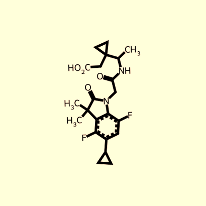 CC(NC(=O)CN1C(=O)C(C)(C)c2c(F)c(C3CC3)cc(F)c21)C1(CC(=O)O)CC1